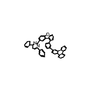 C1=C(c2ccccc2)N=C(c2ccc3oc4cccc(-c5cccc(-c6ccc7c8ccccc8c8ccccc8c7c6)c5)c4c3c2)N=C(c2ccccc2)C1